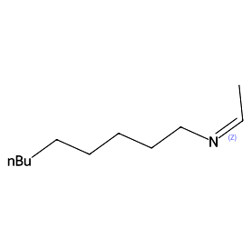 C/C=N\CCCCCCCCC